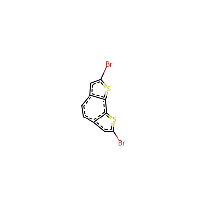 Brc1cc2ccc3cc(Br)sc3c2s1